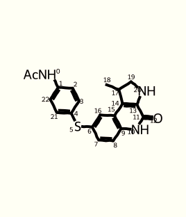 CC(=O)Nc1ccc(Sc2ccc3[nH]c(=O)c4c(c3c2)C(C)CN4)cc1